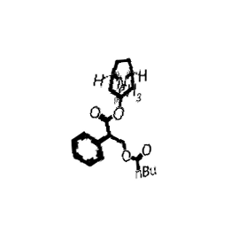 CCCCC(=O)OCC(C(=O)O[C@H]1C[C@H]2CC[C@@H](C1)N2C)c1ccccc1